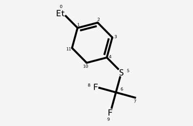 CCC1=CC=C(SC(C)(F)F)CC1